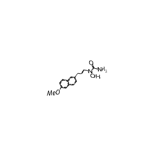 COc1ccc2cc(CC=CN(O)C(N)=O)ccc2c1